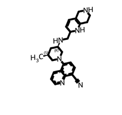 C[C@H]1C[C@@H](NCC2C=CC3=C(CCNC3)N2)CN(c2ccc(C#N)c3ncccc23)C1